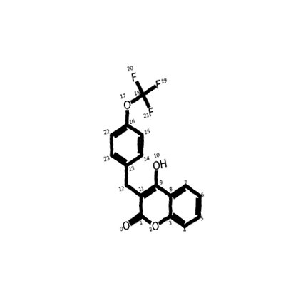 O=c1oc2ccccc2c(O)c1Cc1ccc(OC(F)(F)F)cc1